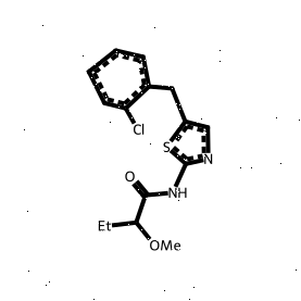 CCC(OC)C(=O)Nc1ncc(Cc2ccccc2Cl)s1